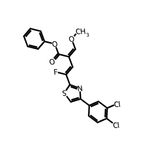 COC=C(C=C(F)c1nc(-c2ccc(Cl)c(Cl)c2)cs1)C(=O)Oc1ccccc1